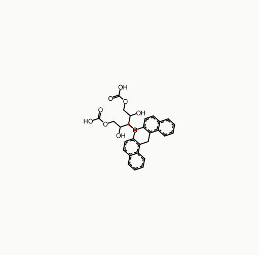 O=C(O)OCC(O)COc1ccc2ccccc2c1Cc1c(OCC(O)COC(=O)O)ccc2ccccc12